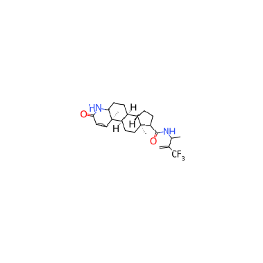 C=C(C(C)NC(=O)C1CC[C@H]2[C@@H]3CCC4NC(=O)C=C[C@]4(C)[C@@H]3CC[C@]12C)C(F)(F)F